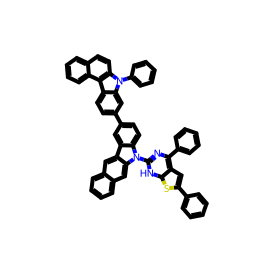 C1=C(c2ccccc2)SC2NC(n3c4ccc(-c5ccc6c7c8ccccc8ccc7n(-c7ccccc7)c6c5)cc4c4cc5ccccc5cc43)=NC(c3ccccc3)=C12